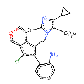 CCc1nc(C2CC2)c(C(=O)O)n1Cc1c2ccocc-2c(Cl)c1-c1ccccc1N